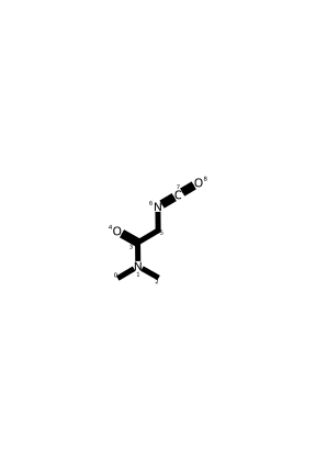 CN(C)C(=O)CN=C=O